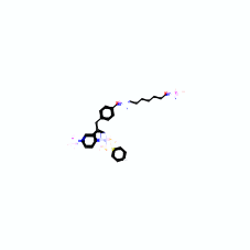 Cc1ccc(S(=O)(=O)n2cc(Cc3ccc(C(=O)NCCCCCCC(=O)NO)cc3)c3cc([N+](=O)[O-])ccc32)cc1